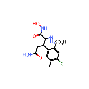 Cc1cc(C(CC(N)=O)[C@H](N)C(=O)NO)c(S(=O)(=O)O)cc1Cl